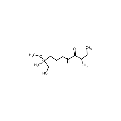 CCC(C)C(=O)NCCC[Si](C)(CO)OC